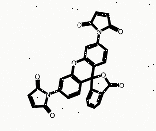 O=C1OC2(c3ccc(N4C(=O)C=CC4=O)cc3Oc3cc(N4C(=O)C=CC4=O)ccc32)c2ccccc21